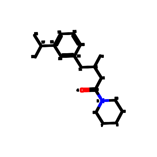 CC(CC(=O)N1CCCCC1)Cc1cccc(C(C)C)c1